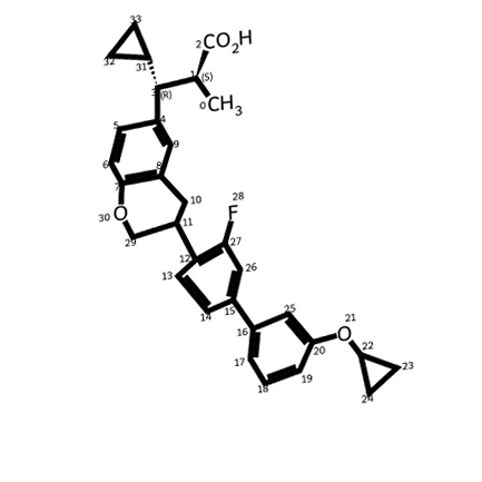 C[C@H](C(=O)O)[C@H](c1ccc2c(c1)CC(c1ccc(-c3cccc(OC4CC4)c3)cc1F)CO2)C1CC1